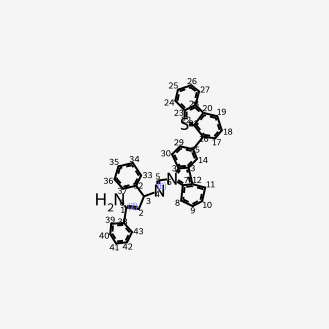 N/C(=C\C(/N=C/n1c2ccccc2c2cc(-c3cccc4c3sc3ccccc34)ccc21)c1ccccc1)c1ccccc1